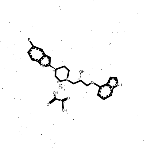 C[C@@H]1C[C@@H](c2cc3cc(F)ccc3s2)CCN1C[C@H](O)COc1cccc2[nH]ccc12.O=C(O)C(=O)O